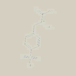 NC(=O)[C@H](N)Cc1ccc(S(N)(=O)=O)cc1